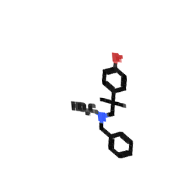 CC(C)(CN(Cc1ccccc1)C(=O)O)c1ccc(Br)cc1